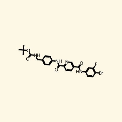 CC(C)(C)OC(=O)NCc1ccc(NC(=O)c2ccc(C(=O)Nc3ccc(Br)c(F)c3)cn2)cc1